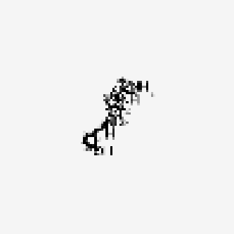 COC(=O)C(CN)NC(=O)c1c(C)nc(NCCCc2cccc(O)c2)nc1C.Cl